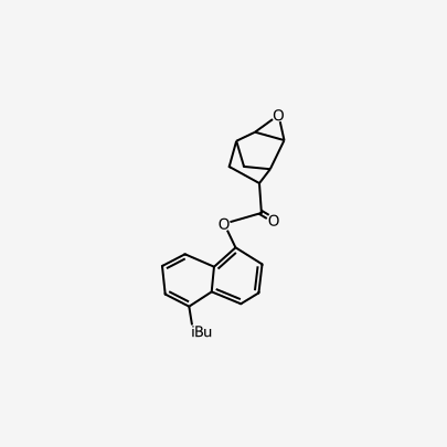 CCC(C)c1cccc2c(OC(=O)C3CC4CC3C3OC43)cccc12